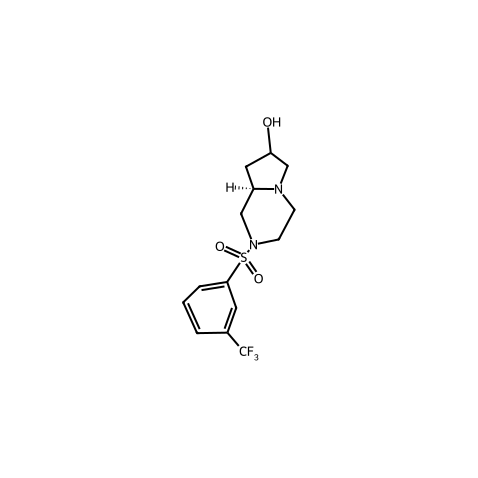 O=S(=O)(c1cccc(C(F)(F)F)c1)N1CCN2CC(O)C[C@@H]2C1